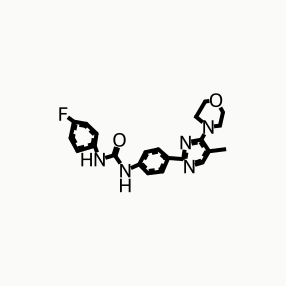 Cc1cnc(-c2ccc(NC(=O)Nc3ccc(F)cc3)cc2)nc1N1CCOCC1